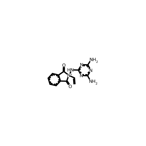 C=C[N+]1(Nc2nc(N)nc(N)n2)C(=O)c2ccccc2C1=O